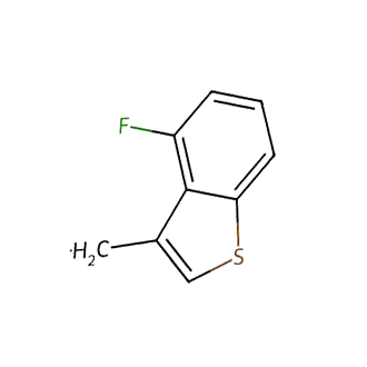 [CH2]c1csc2cccc(F)c12